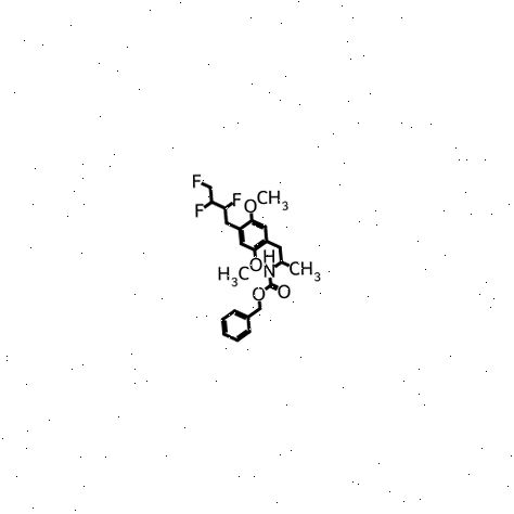 COc1cc(CC(F)C(F)CF)c(OC)cc1CC(C)NC(=O)OCc1ccccc1